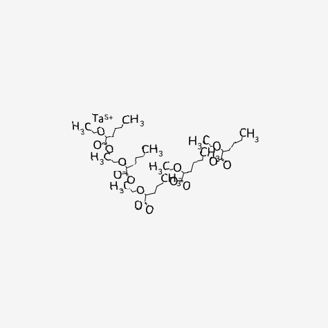 CCCCC(OCC)C(=O)[O-].CCCCC(OCC)C(=O)[O-].CCCCC(OCC)C(=O)[O-].CCCCC(OCC)C(=O)[O-].CCCCC(OCC)C(=O)[O-].[Ta+5]